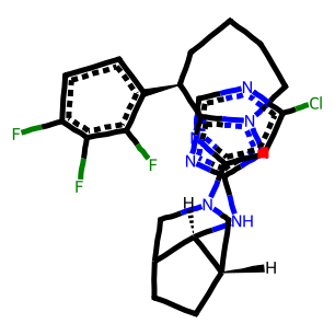 Fc1ccc([C@H]2CCCCn3nc(N[C@@H]4C5CC[C@H]4CN(c4cc(Cl)ncn4)C5)nc32)c(F)c1F